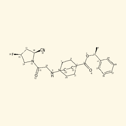 C[C@H](OC(=O)C12CCC(NCC(=O)N3C[C@@H](F)C[C@H]3C#N)(CC1)CC2)c1ccccc1